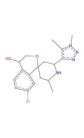 Cc1c(C2CC3(CC(C)N2)OCC(O)c2ccc(Cl)cc23)nnn1C